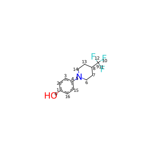 Oc1ccc(N2CCC(C(F)(F)F)CC2)cc1